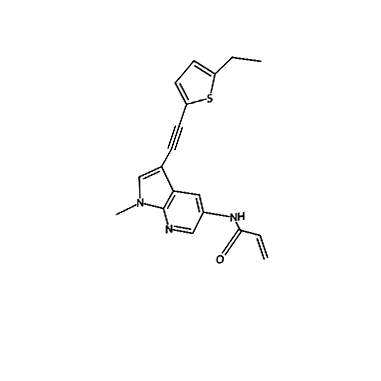 C=CC(=O)Nc1cnc2c(c1)c(C#Cc1ccc(CC)s1)cn2C